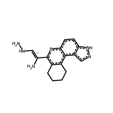 NN/C=C(\N)c1nc2ccc3[nH]ncc3c2c2c1CCCC2